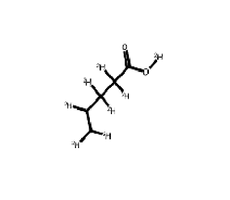 [2H]OC(=O)C([2H])([2H])C([2H])([2H])C([2H])C([2H])[2H]